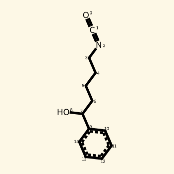 O=C=NCCCCC(O)c1ccccc1